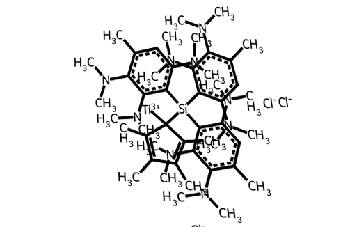 CC1=C(C)[C]([Ti+3])([Si](c2c(N(C)C)cc(C)c(N(C)C)c2N(C)C)(c2c(N(C)C)cc(C)c(N(C)C)c2N(C)C)c2c(N(C)C)cc(C)c(N(C)C)c2N(C)C)C(C)=C1C.[Cl-].[Cl-].[Cl-]